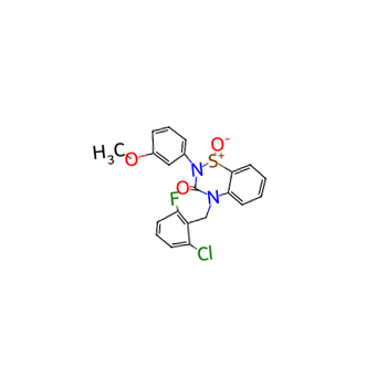 COc1cccc(N2C(=O)N(Cc3c(F)cccc3Cl)c3ccccc3[S+]2[O-])c1